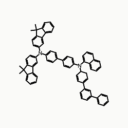 CC1(C)c2ccccc2-c2cc(N(c3ccc(-c4ccc(N(c5cccc6ccccc56)C5C=CC(c6cccc(-c7ccccc7)c6)=CC5)cc4)cc3)c3ccc4c(c3)-c3ccccc3C4(C)C)ccc21